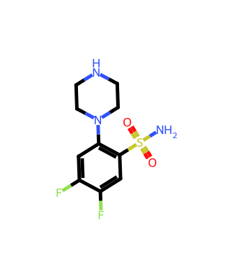 NS(=O)(=O)c1cc(F)c(F)cc1N1CCNCC1